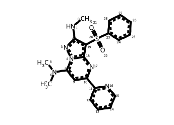 CNc1nn2c(N(C)C)cc(-c3ccccn3)nc2c1S(=O)(=O)c1ccccc1